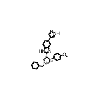 COc1ccc([C@H]2CN(Cc3ccccc3)C[C@@H]2c2nc3cc(-c4cn[nH]c4)ccc3[nH]2)cc1